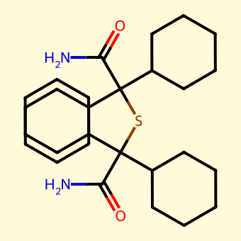 NC(=O)C(SC(C(N)=O)(C1CCCCC1)C1CCCCC1)(C1CCCCC1)C1CCCCC1